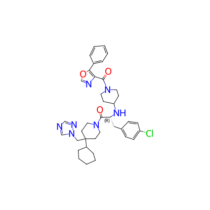 O=C(c1ncoc1-c1ccccc1)N1CCC(N[C@H](Cc2ccc(Cl)cc2)C(=O)N2CCC(Cn3cncn3)(C3CCCCC3)CC2)CC1